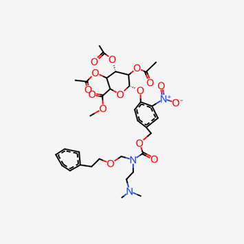 COC(=O)C1O[C@@H](Oc2ccc(COC(=O)N(CCN(C)C)COCCc3ccccc3)cc2[N+](=O)[O-])C(OC(C)=O)[C@@H](OC(C)=O)C1OC(C)=O